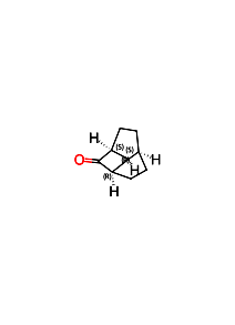 O=C1[C@H]2CC[C@H]3CC[C@@H]1[C@H]32